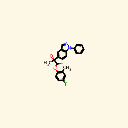 Cc1cc(F)ccc1OC(F)C(C)(O)c1ccc2c(cnn2-c2ccccc2)c1